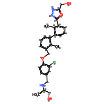 Cc1c(COc2ccc(CN[C@@H](CO)C(=O)O)cc2Cl)cccc1-c1cccc(-c2nnc(CO)o2)c1C